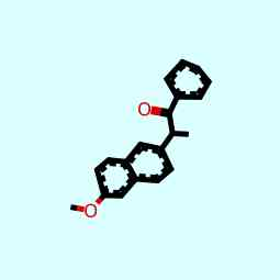 COc1ccc2cc(C(C)C(=O)c3ccccc3)ccc2c1